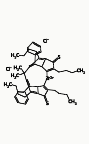 CCCCC1=[C]2[Zr+2][C]3=C(CCCC)C(=S)C4=C(CCCC)C(=C(c5ccccc5)C34)C(C)(C)C3=C(c4ccccc4)C2C(=C3CCCC)C1=S.[Cl-].[Cl-]